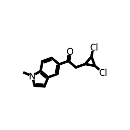 Cn1ccc2cc(C(=O)CC3C(Cl)C3Cl)ccc21